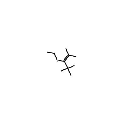 CCSC(=C(C)C)C(C)(C)C